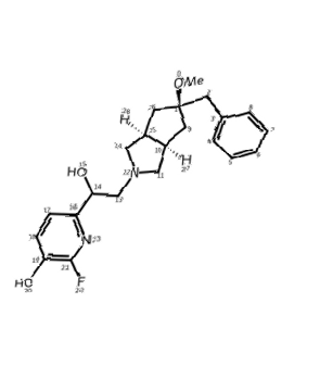 CO[C@@]1(Cc2ccccc2)C[C@H]2CN(CC(O)c3ccc(O)c(F)n3)C[C@H]2C1